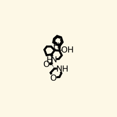 O=C([C@H]1COCCN1)N1CC[C@](O)(c2ccccc2)[C@H]2CCCC[C@H]21